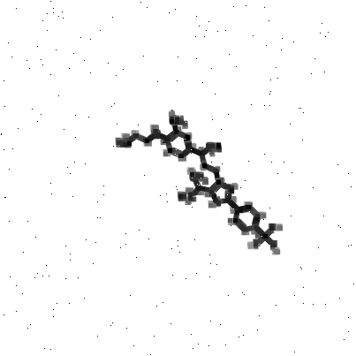 Cc1cc(C(O)CCc2nc(-c3ccc(C(F)(F)F)cc3)sc2C(C)C)ccc1OCCO